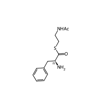 CC(=O)NCCSC(=O)[C@@H](N)Cc1ccccc1